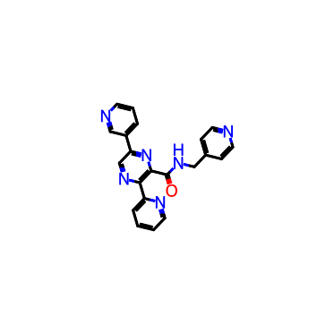 O=C(NCc1ccncc1)c1nc(-c2cccnc2)cnc1-c1ccccn1